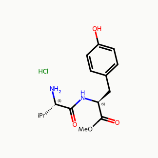 COC(=O)[C@H](Cc1ccc(O)cc1)NC(=O)[C@@H](N)C(C)C.Cl